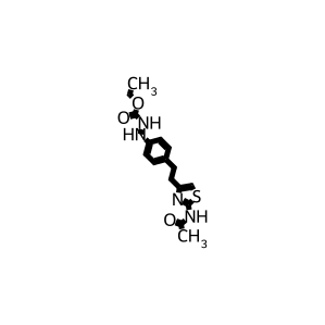 CCOC(=O)NNc1ccc(CCc2csc(NC(C)=O)n2)cc1